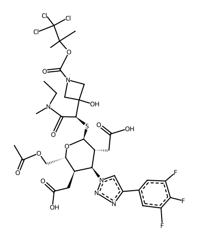 CCN(C)C(=O)[C@H](S[C@@H]1O[C@@H](COC(C)=O)[C@H](CC(=O)O)[C@H](n2cc(-c3cc(F)c(F)c(F)c3)nn2)[C@H]1CC(=O)O)C1(O)CN(C(=O)OC(C)(C)C(Cl)(Cl)Cl)C1